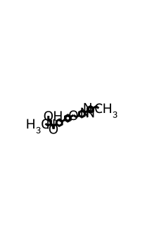 CCc1cnc(N2CCC(COc3ccc(C4=CCC(C(=O)N(CC)CCO)CC4)cc3)CC2)nc1